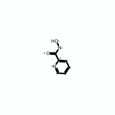 O=C([N]O)c1ccccn1